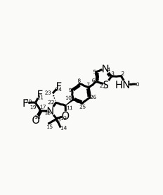 CNCc1ncc(-c2ccc([C@H]3OC(C)(C)N(C(=O)C(F)F)[C@@H]3CF)cc2)s1